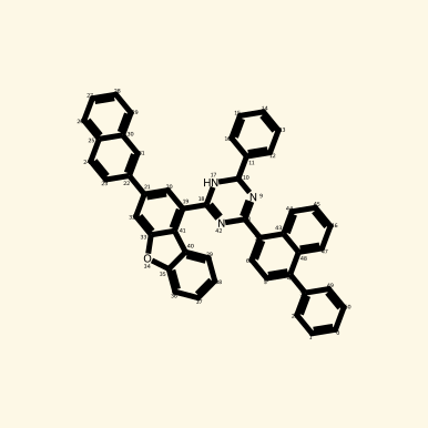 c1ccc(-c2ccc(C3=NC(c4ccccc4)NC(c4cc(-c5ccc6ccccc6c5)cc5oc6ccccc6c45)=N3)c3ccccc23)cc1